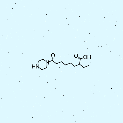 CCC(CCCCCC(=O)N1CCNCC1)C(=O)O